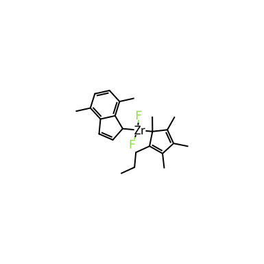 CCCC1=C(C)C(C)=C(C)[C]1(C)[Zr]([F])([F])[CH]1C=Cc2c(C)ccc(C)c21